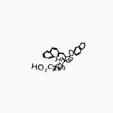 CC(C)CN(CC(O)C(=O)O)C(=O)NC(Cc1ccc2ccccc2c1)C(=O)Oc1ccc2c(c1)CCC2